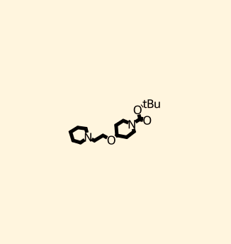 CC(C)(C)OC(=O)N1CCC(OCCN2CCCCC2)CC1